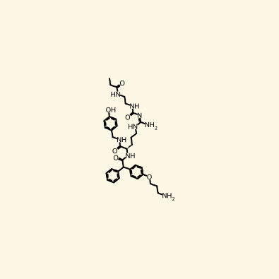 CCC(=O)NCCNC(=O)/N=C(/N)NCCC[C@@H](NC(=O)C(c1ccccc1)c1ccc(OCCCN)cc1)C(=O)NCc1ccc(O)cc1